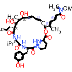 CON(C)C(=O)/C=C/C=C(\C)[C@@H]1C/C=C/C=C/[C@H](O)[C@H](C)[C@@H](O)[C@@H](CCC(C)=O)C(=O)N[C@@H](C(C)C)C(=O)N[C@@H](Cc2cccc(O)c2)C(=O)N2CCCC(N2)C(=O)O1